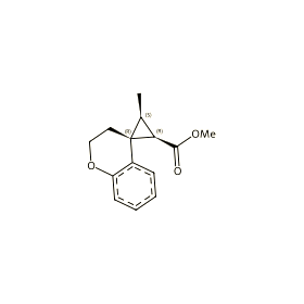 COC(=O)[C@@H]1[C@H](C)[C@]12CCOc1ccccc12